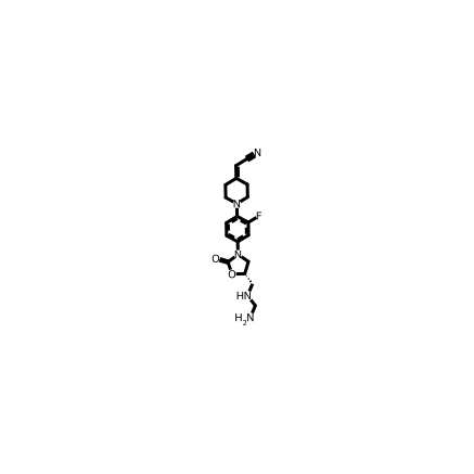 N#CC=C1CCN(c2ccc(N3C[C@H](CNCN)OC3=O)cc2F)CC1